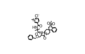 C[n+]1cccc(C(=O)NC(C)(C)C(=O)NC(COCc2ccccc2)C(=O)N2CCC3(CC2)CN(S(C)(=O)=O)c2ccccc23)c1.[Cl-]